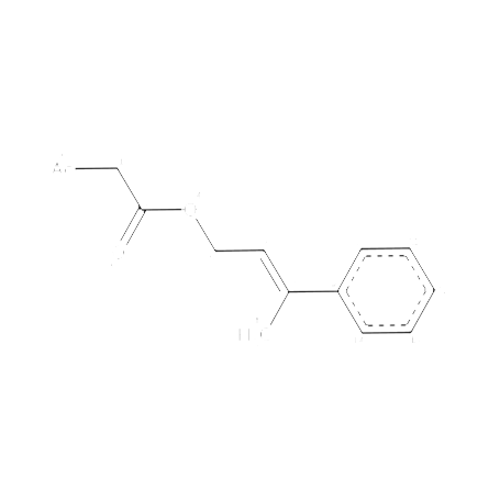 CC(=O)CC(=O)OC/C=C(\C)c1ccccc1